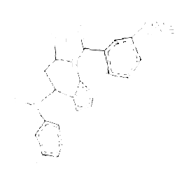 COc1cccc(C(=O)N2c3sccc3C(N(C(C)=O)c3ccccc3)CC2C)c1